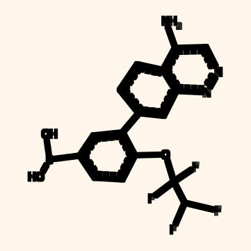 Nc1cnnc2cc(-c3cc(B(O)O)ccc3OC(F)(F)C(F)F)ccc12